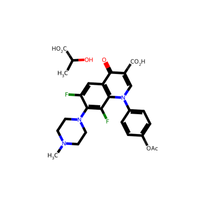 CC(=O)Oc1ccc(-n2cc(C(=O)O)c(=O)c3cc(F)c(N4CCN(C)CC4)c(F)c32)cc1.CC(O)C(=O)O